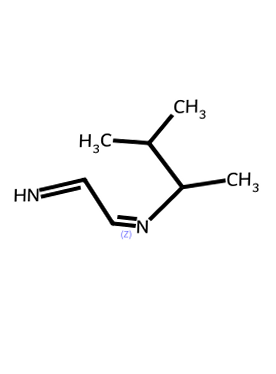 CC(C)C(C)/N=C\C=N